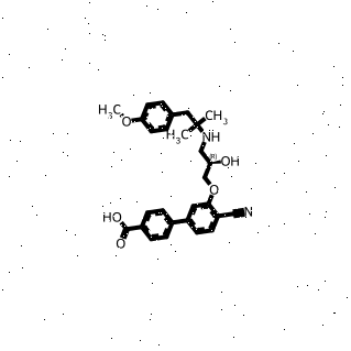 COc1ccc(CC(C)(C)NC[C@@H](O)COc2cc(-c3ccc(C(=O)O)cc3)ccc2C#N)cc1